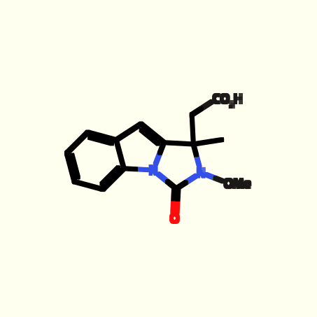 CON1C(=O)n2c(cc3ccccc32)C1(C)CC(=O)O